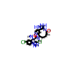 C=N/C(=C\C(=O)N(C)[C@H]1CCC[C@@H](C)C(=O)Nc2cn[nH]c2-c2ccnc1c2)c1cc(Cl)ccc1-n1cc(Cl)nn1